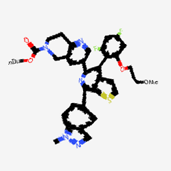 CCCCOC(=O)N1CCc2ncc(-c3nc(-c4ccc5c(cnn5C)c4)c4sccc4c3-c3c(F)cc(F)cc3OCCOC)cc2C1